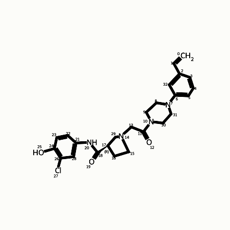 C=Cc1cccc(N2CCN(C(=O)CN3CC[C@@H](C(=O)Nc4ccc(O)c(Cl)c4)C3)CC2)c1